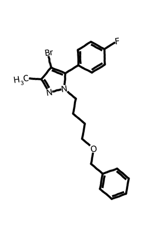 Cc1nn(CCCCOCc2ccccc2)c(-c2ccc(F)cc2)c1Br